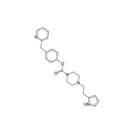 O=C(Oc1ccc(Cc2ccccn2)cc1)N1CCN(CCc2ccc[nH]2)CC1